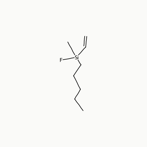 C=C[Si](C)(F)CCCCC